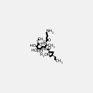 CCC[C@@H]1C[C@@H](C(=O)N[C@H]([C@H](C)NC(=O)CCCN)[C@H]2OC(SC)[C@H](O)C(O)C2O)N(C)C1